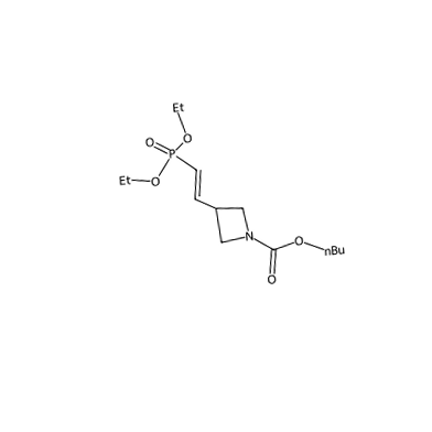 CCCCOC(=O)N1CC(C=CP(=O)(OCC)OCC)C1